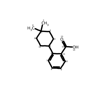 CC1(C)CCC(c2ccccc2C(=O)O)CC1